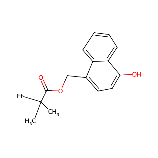 CCC(C)(C)C(=O)OCc1ccc(O)c2ccccc12